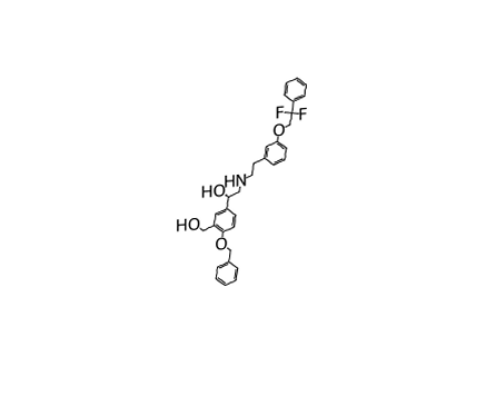 OCc1cc([C@@H](O)CNCCc2cccc(OCC(F)(F)c3ccccc3)c2)ccc1OCc1ccccc1